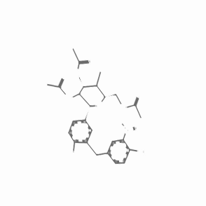 CC(=O)OC[C@H]1O[C@@H](c2ccc(Cl)c(Cc3ccc(O)c([N+](=O)[O-])c3)c2)C(OC(C)=O)[C@@H](OC(C)=O)C1C